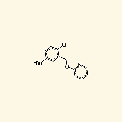 CC(C)(C)c1ccc(Cl)c(COc2ccccn2)c1